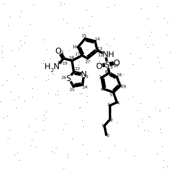 CCCCCc1ccc(S(=O)(=O)Nc2cccc(C(C(N)=O)c3nccs3)c2)cc1